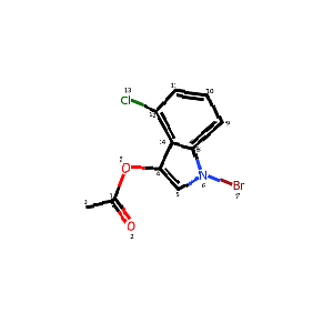 CC(=O)Oc1cn(Br)c2cccc(Cl)c12